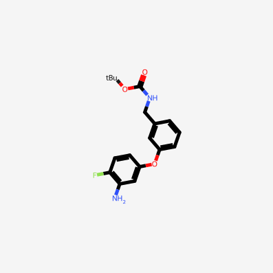 CC(C)(C)OC(=O)NCc1cccc(Oc2ccc(F)c(N)c2)c1